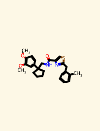 COc1ccc(C2(CNC(=O)c3csc(Cc4ccccc4C)n3)CCCC2)cc1OC